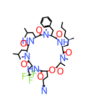 CCCC[C@@H](C)C[C@@H]1NC(=O)C(Cc2ccccc2)N(C)C(=O)C(CC(C)C)NC(=O)C(CC(C)C)N(C)C(=O)C(CC(F)(F)F)NC(=O)C(CCC#N)OC(=O)C(C)N(C)C1=O